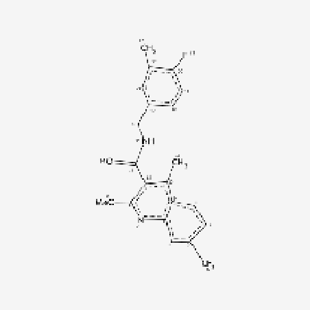 COc1nc2cc(C(F)(F)F)ccc2c(C)c1C(=O)NCc1ccc(F)c(C)c1